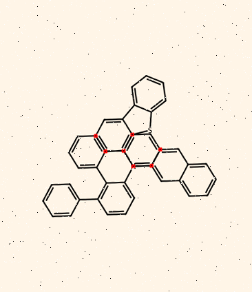 c1ccc(-c2ccccc2-c2c(-c3ccccc3)cccc2N(c2ccc3ccccc3c2)c2cccc3c2sc2ccccc23)cc1